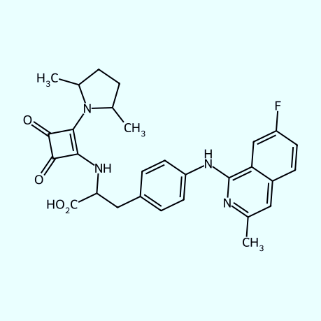 Cc1cc2ccc(F)cc2c(Nc2ccc(CC(Nc3c(N4C(C)CCC4C)c(=O)c3=O)C(=O)O)cc2)n1